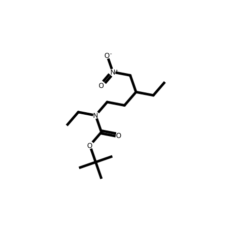 CCC(CCN(CC)C(=O)OC(C)(C)C)C[N+](=O)[O-]